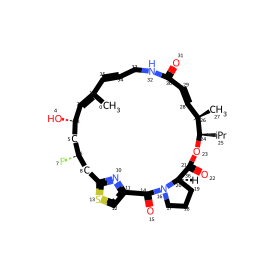 CC1=C\[C@@H](O)C[C@@H](F)Cc2nc(cs2)C(=O)N2CCC[C@@H]2C(=O)O[C@H](C(C)C)[C@H](C)/C=C/C(=O)NC\C=C\1